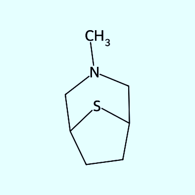 CN1CC2CCC(C1)S2